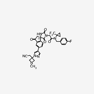 CN1CC(CC#N)(n2cc(-c3ccc4c(c3)C(=O)C[C@]43NC(=O)N(CC(=O)N(Cc4ccc(F)cc4)C4(C(F)(F)F)CC4)C3=O)cn2)C1